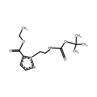 CCOC(=O)c1ccnn1CCNC(=O)OC(C)(C)C